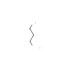 O=CCC[CH2][Sn]